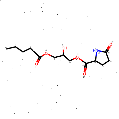 CCCCC(=O)OCC(O)COC(=O)C1CCC(=O)N1